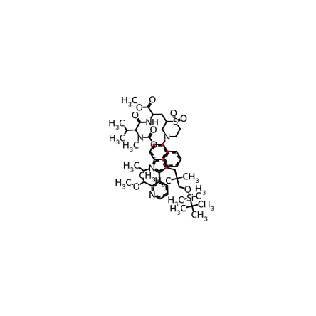 CCn1c(-c2cccnc2[C@H](C)OC)c(CC(C)(C)CO[Si](C)(C)C(C)(C)C)c2cc(N3CCS(=O)(=O)C(CC(NC(=O)[C@H](C(C)C)N(C)C(=O)OCc4ccccc4)C(=O)OC)C3)ccc21